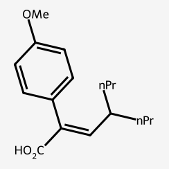 CCCC(/C=C(/C(=O)O)c1ccc(OC)cc1)CCC